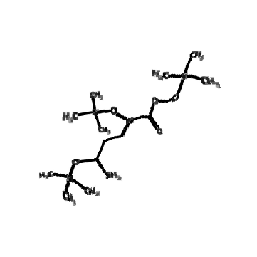 C[Si](C)(C)OOC(=O)N(CCC([SiH3])O[Si](C)(C)C)O[Si](C)(C)C